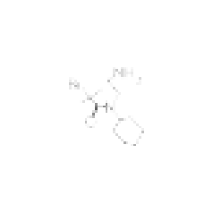 CC(C)(Br)C(=O)N(CCN)C1CCCCC1